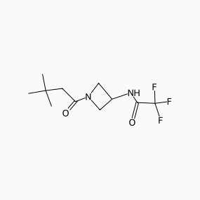 CC(C)(C)CC(=O)N1CC(NC(=O)C(F)(F)F)C1